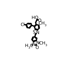 Cc1cc2nc(-c3ccc4c(c3)n(C)c(=O)n4C)sc2c(-c2ccc(Cl)cc2)c1CC(=O)O